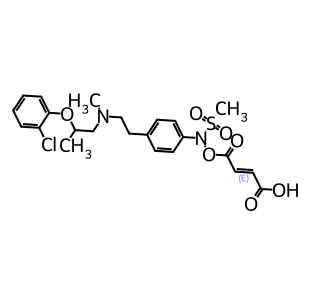 CC(CN(C)CCc1ccc(N(OC(=O)/C=C/C(=O)O)S(C)(=O)=O)cc1)Oc1ccccc1Cl